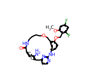 COc1cc(F)cc(F)c1COc1ccc2cc1COCCCCNC(=O)c1ccc(c(N)c1)-c1ccnc(n1)N2